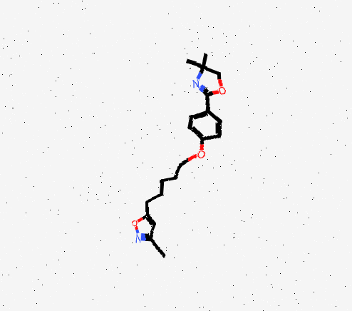 Cc1cc(CCCCCOc2ccc(C3=NC(C)(C)CO3)cc2)on1